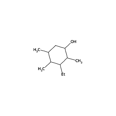 CCC1C(C)C(C)CC(O)C1C